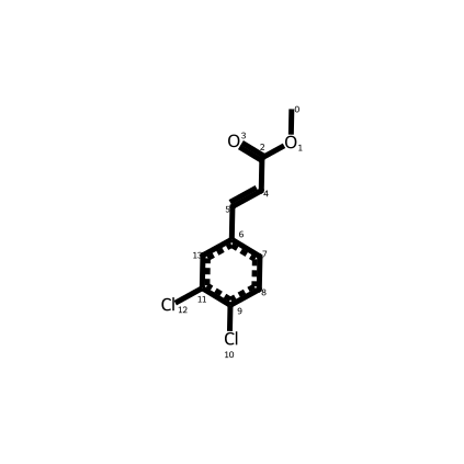 COC(=O)/C=C/c1ccc(Cl)c(Cl)c1